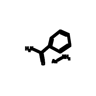 CC(N)=O.NC(=O)c1ccccc1